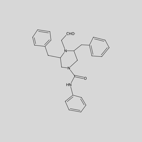 O=[C]CN1C(Cc2ccccc2)CN(C(=O)Nc2ccccc2)CC1Cc1ccccc1